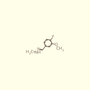 CN/N=C/c1ccc(F)c(OC)c1